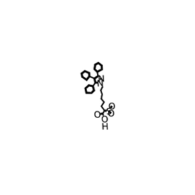 O=C(O)C(CCCCCCn1nc(-c2ccccc2)c(-c2ccccc2)c1-c1ccccc1)=S(=O)=O